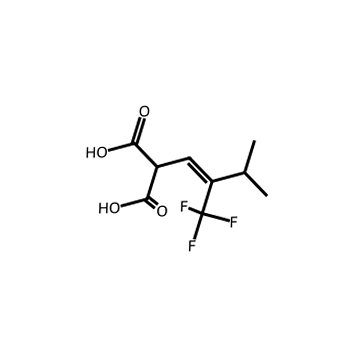 CC(C)C(=CC(C(=O)O)C(=O)O)C(F)(F)F